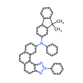 CC1(C)c2ccccc2-c2ccc(N(c3ccccc3)c3ccc4ccc5ccc6nn(-c7ccccc7)nc6c5c4c3)cc21